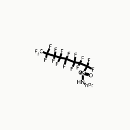 CCCNS(=O)(=O)C(F)(F)C(F)(F)C(F)(F)C(F)(F)C(F)(F)C(F)(F)C(F)(F)C(F)(F)F